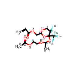 C=CC(=O)OCC1OCC(F)(F)C(OC(C)OCCOC(C)=O)(C(F)(F)F)O1